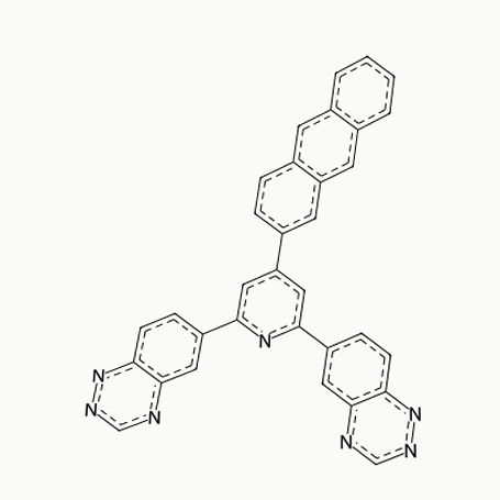 c1ccc2cc3cc(-c4cc(-c5ccc6nncnc6c5)nc(-c5ccc6nncnc6c5)c4)ccc3cc2c1